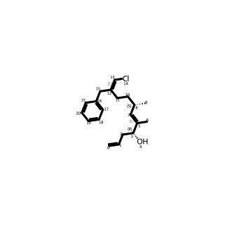 C=CC[C@@H](O)/C(C)=C/[C@@H](C)CC/C(=C\Cl)Cc1ccccc1